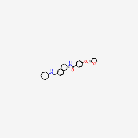 O=C(N[C@H]1CCc2cc(CNC3CCCCCC3)ccc2C1)c1ccc(OC[C@@H]2CCCO2)cc1